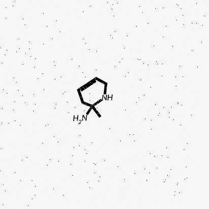 CC1(N)CC=CCN1